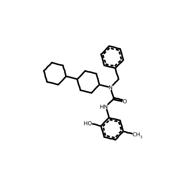 Cc1ccc(O)c(NC(=O)N(Cc2ccccc2)C2CCC(C3CCCCC3)CC2)c1